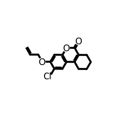 C=CCOc1cc2oc(=O)c3c(c2cc1Cl)CCCC3